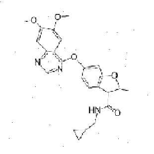 COc1cc2ncnc(Oc3ccc4c(c3)OC(C)C4C(=O)NCC3CC3)c2cc1OC